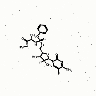 CC(C)OC(=O)[C@H](C)NP(=O)(OC[C@H]1O[C@@H](n2cc(F)c(N)nc2=O)[C@](C)(F)C1O)Oc1ccccc1